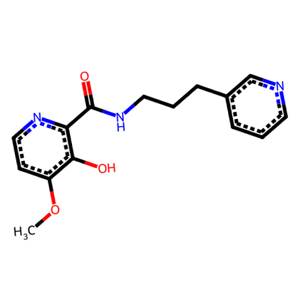 COc1ccnc(C(=O)NCCCc2cccnc2)c1O